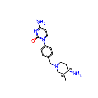 C[C@H]1CN(Cc2ccc(-n3ccc(N)nc3=O)cc2)CC[C@H]1N